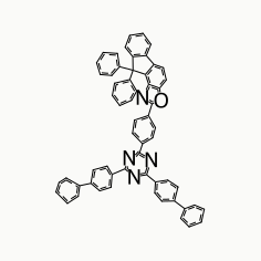 c1ccc(-c2ccc(-c3nc(-c4ccc(-c5ccccc5)cc4)nc(-c4ccc(-c5nc6c7c(ccc6o5)-c5ccccc5C7(c5ccccc5)c5ccccc5)cc4)n3)cc2)cc1